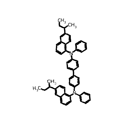 CCC(C)c1ccc2c(N(c3ccccc3)c3ccc(-c4ccc(N(c5ccccc5)c5cccc6cc(C(C)CC)ccc56)cc4)cc3)cccc2c1